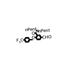 CCCCCN(CCCCC)C(=O)c1cc(C=O)ccc1OCc1ccc(C(F)(F)F)cc1